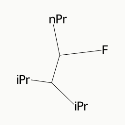 CCCC(F)C(C(C)C)C(C)C